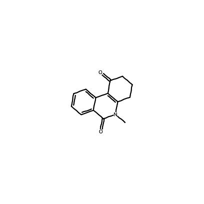 Cn1c2c(c3ccccc3c1=O)C(=O)CCC2